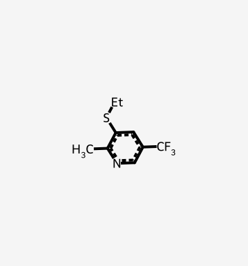 CCSc1cc(C(F)(F)F)cnc1C